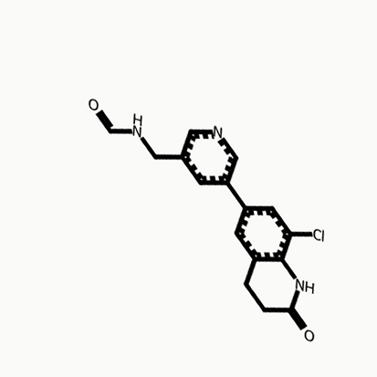 O=CNCc1cncc(-c2cc(Cl)c3c(c2)CCC(=O)N3)c1